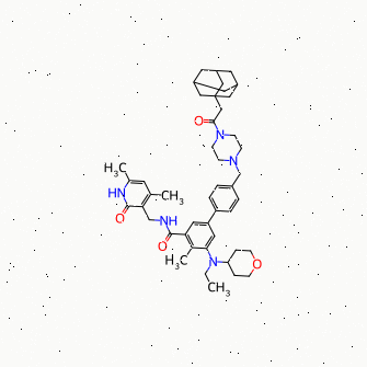 CCN(c1cc(-c2ccc(CN3CCN(C(=O)CC45CC6CC(CC(C6)C4)C5)CC3)cc2)cc(C(=O)NCc2c(C)cc(C)[nH]c2=O)c1C)C1CCOCC1